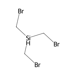 BrC[SiH](CBr)CBr